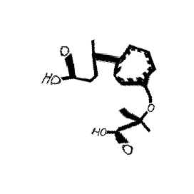 CC(CC(=O)O)c1cccc(OC(C)(C)C(=O)O)c1